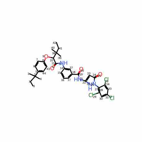 CCC(C)(C)c1ccc(OC(C(=O)Nc2cccc(C(=O)Nc3cc(=O)n(-c4c(Cl)cc(Cl)cc4Cl)[nH]3)c2)C(C)(C)CC)cc1